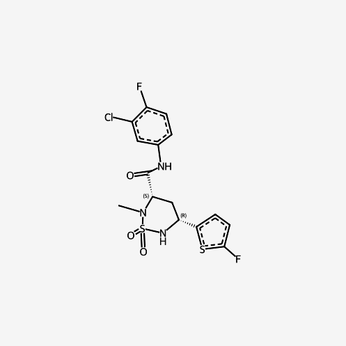 CN1[C@H](C(=O)Nc2ccc(F)c(Cl)c2)C[C@H](c2ccc(F)s2)NS1(=O)=O